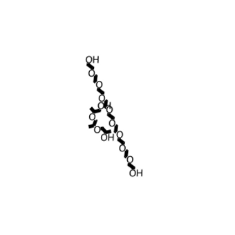 CC(O)COC(C)COC(C)CO.OCCOCCOCCOCCOCCOCCOCCOCCOCCO